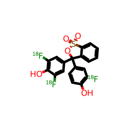 O=S1(=O)OC(c2ccc(O)c([18F])c2)(c2cc([18F])c(O)c([18F])c2)c2ccccc21